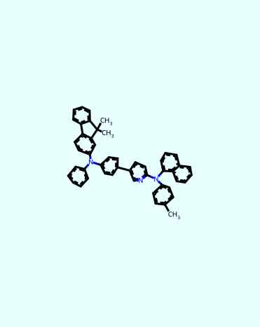 Cc1ccc(N(c2ccc(-c3ccc(N(c4ccccc4)c4ccc5c(c4)C(C)(C)c4ccccc4-5)cc3)cn2)c2cccc3ccccc23)cc1